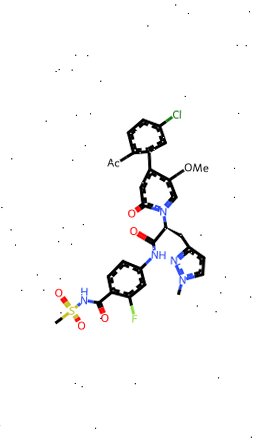 COc1cn([C@@H](Cc2ccn(C)n2)C(=O)Nc2ccc(C(=O)NS(C)(=O)=O)c(F)c2)c(=O)cc1-c1cc(Cl)ccc1C(C)=O